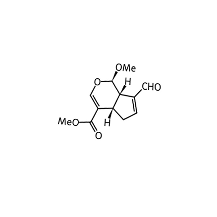 COC(=O)C1=CO[C@@H](OC)[C@@H]2C(C=O)=CC[C@H]12